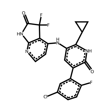 O=C1Nc2nccc(Nc3cc(-c4cc(Cl)ccc4F)c(=O)[nH]c3C3CC3)c2C1(F)F